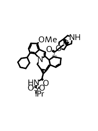 COc1ccc(C2CCCCC2)c2c1cc1n2CC2=C(C(=O)NS(=O)(=O)C(C)C)C2=C2C=CC[C@@H](C(=O)N3CC45CNCC4(COC5)C3)C21